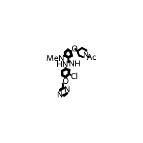 CNc1ccc(OC2CCN(C(C)=O)CC2)cc1C(=N)Nc1ccc(OCc2cnccn2)c(Cl)c1